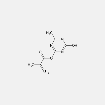 C=C(C)C(=O)Oc1nc(C)nc(O)n1